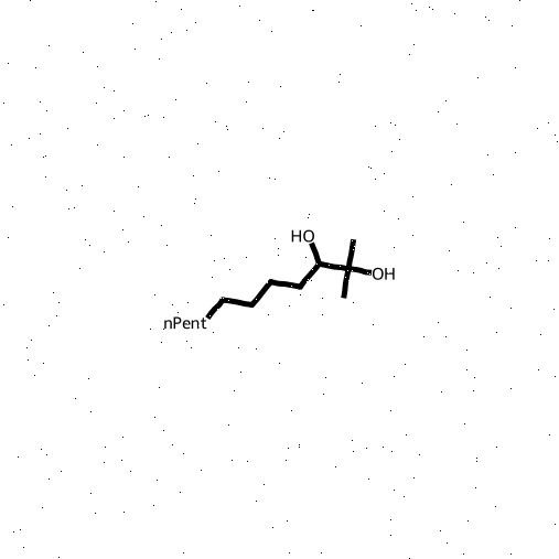 CCCCCCCCCC(O)C(C)(C)O